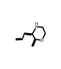 C=C/C=C1/NCCOC1=C